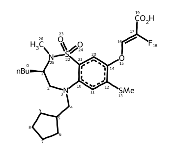 CCCC[C@@H]1CN(CC2CCCC2)c2cc(SC)c(O/C=C(\F)C(=O)O)cc2S(=O)(=O)N1C